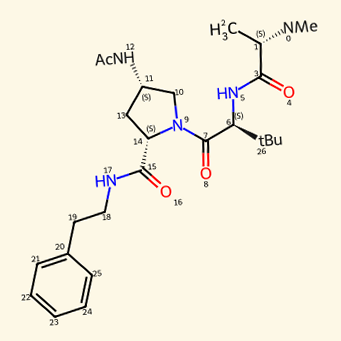 CN[C@@H](C)C(=O)N[C@H](C(=O)N1C[C@@H](NC(C)=O)C[C@H]1C(=O)NCCc1ccccc1)C(C)(C)C